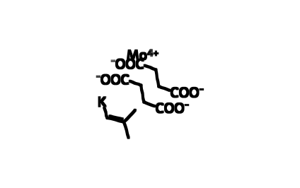 CC(C)=[CH][K].O=C([O-])CCC(=O)[O-].O=C([O-])CCC(=O)[O-].[Mo+4]